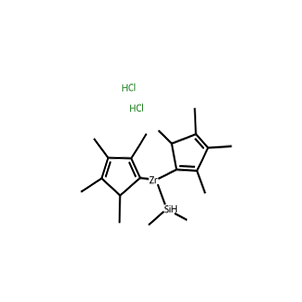 CC1=C(C)C(C)[C]([Zr]([C]2=C(C)C(C)=C(C)C2C)[SiH](C)C)=C1C.Cl.Cl